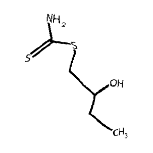 CCC(O)CSC(N)=S